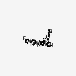 C[Si](C)(C)CCOCOc1cnccc1N1Cc2nn(-c3ccc(N4CC[C@H](F)C4)nc3)cc2C1=O